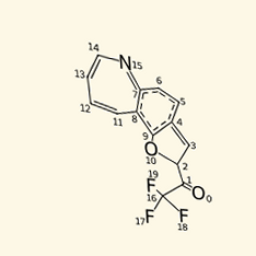 O=C(C1C=c2ccc3c(c2O1)C=CC=CN=3)C(F)(F)F